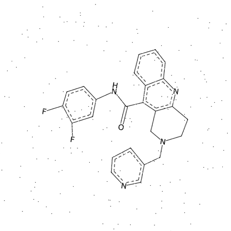 O=C(Nc1ccc(F)c(F)c1)c1c2c(nc3ccccc13)CCN(Cc1cccnc1)C2